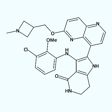 COc1c(Cl)cccc1Nc1c(-c2ccnc3ccc(OCC4CN(C)C4)nc23)[nH]c2c1C(=O)NCC2